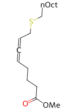 CCCCCCCCCSCC=C=CCCCC(=O)OC